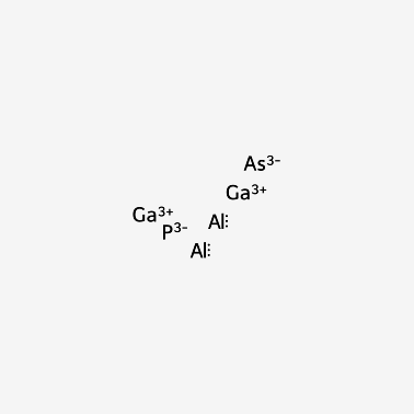 [Al].[Al].[As-3].[Ga+3].[Ga+3].[P-3]